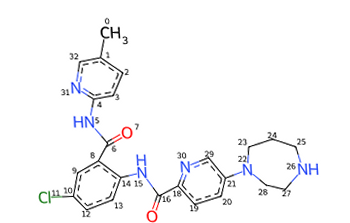 Cc1ccc(NC(=O)c2cc(Cl)ccc2NC(=O)c2ccc(N3CCCNCC3)cn2)nc1